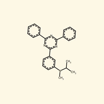 CC(C)N(C)c1cccc(-c2nc(-c3ccccc3)nc(-c3ccccc3)n2)c1